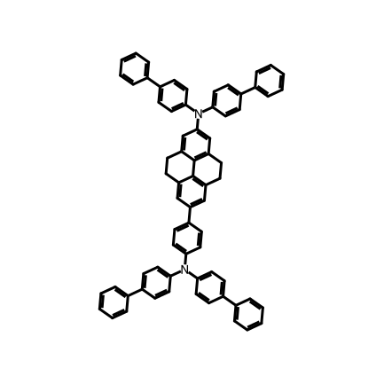 c1ccc(-c2ccc(N(c3ccc(-c4ccccc4)cc3)c3ccc(-c4cc5c6c(c4)CCc4cc(N(c7ccc(-c8ccccc8)cc7)c7ccc(-c8ccccc8)cc7)cc(c4-6)CC5)cc3)cc2)cc1